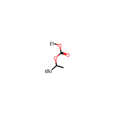 CCOC(=O)OC(C)C(C)(C)C